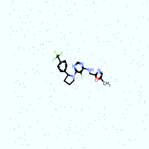 Cc1cnc(CNc2ncnc(N3CCCC3c3ccc(C(F)(F)F)cc3)c2F)o1